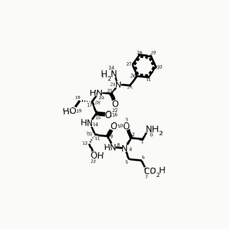 NCC(=O)N(CCC(=O)O)NC(=O)[C@H](CO)NC(=O)[C@H](CO)NC(=O)N(N)Cc1ccccc1